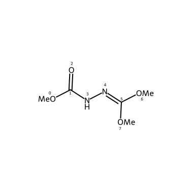 COC(=O)NN=C(OC)OC